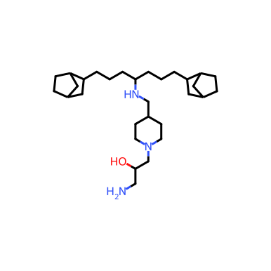 NCC(O)CN1CCC(CNC(CCCC2CC3CCC2C3)CCCC2CC3CCC2C3)CC1